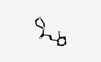 O=C(C=Cc1ccccc1Br)N1CCOC1